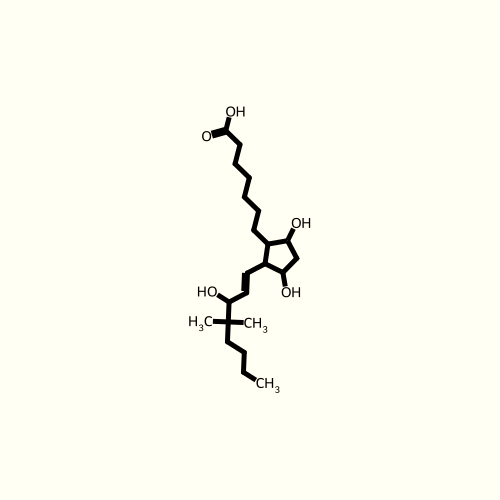 CCCCC(C)(C)C(O)C=CC1C(O)CC(O)C1CCCCCCC(=O)O